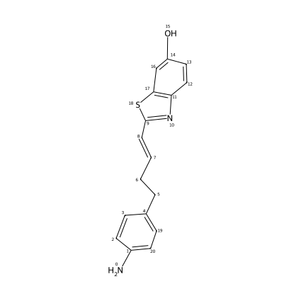 Nc1ccc(CC/C=C/c2nc3ccc(O)cc3s2)cc1